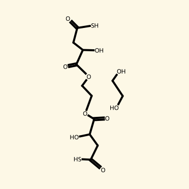 O=C(S)CC(O)C(=O)OCCOC(=O)C(O)CC(=O)S.OCCO